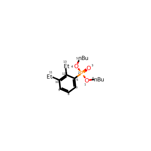 CCCCOP(=O)(OCCCC)c1cccc(CC)c1CC